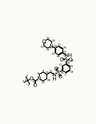 CC(C)(C)OC(=O)N1CCC(CNS(=O)(=O)c2cccc(S(=O)(=O)Nc3ccc(N4CCOCC4)cc3)c2)CC1